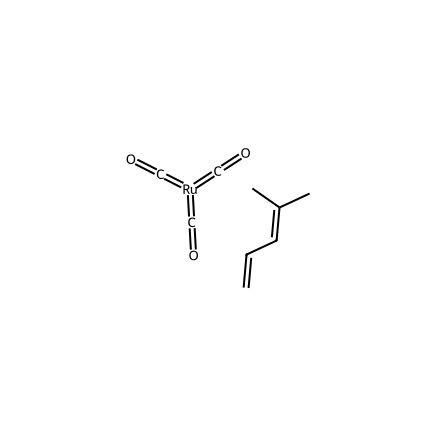 C=CC=C(C)C.O=[C]=[Ru](=[C]=O)=[C]=O